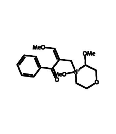 COC=C(C[N+]1(OC)CCOCC1OC)C(=O)c1ccccc1